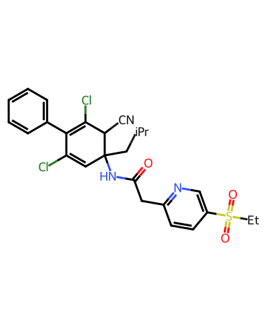 CCS(=O)(=O)c1ccc(CC(=O)NC2(CC(C)C)C=C(Cl)C(c3ccccc3)=C(Cl)C2C#N)nc1